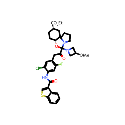 CCOC(=O)[C@H]1CC[C@H](OC(C(=O)Cc2cc(Cl)c(NC(=O)c3csc4ccccc34)cc2F)(N2CCCC2)N2CC(OC)C2)CC1